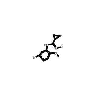 COc1ccc(Br)cc1N/C(=N/Cl)C1CC1